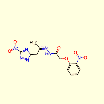 C/C(CC1N=NC([N+](=O)[O-])=N1)=N/NC(=O)COc1ccccc1[N+](=O)[O-]